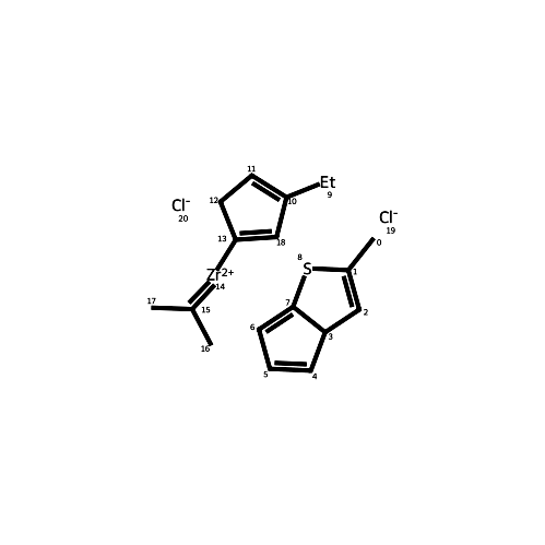 CC1=CC2C=CC=C2S1.CCC1=CC[C]([Zr+2]=[C](C)C)=C1.[Cl-].[Cl-]